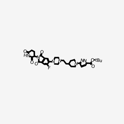 CC(C)(C)OC(=O)c1ccc(N2CCC(CCN3CCN(c4cc5c(cc4F)C(=O)N(C4CCC(=O)NC4=O)C5=O)CC3)CC2)nn1